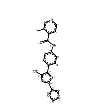 Cc1cnccc1C(=O)Nc1ccc(-c2sc(-c3cnco3)cc2Cl)cc1